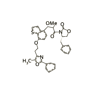 COC(Cc1ccc(OCCc2nc(-c3ccccc3)oc2C)c2sccc12)C(=O)N1C(=O)OC[C@@H]1Cc1ccccc1